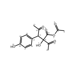 CC(=O)OC(=O)C(O)(C(C)=O)C(C(C)=O)c1ccc(O)cc1